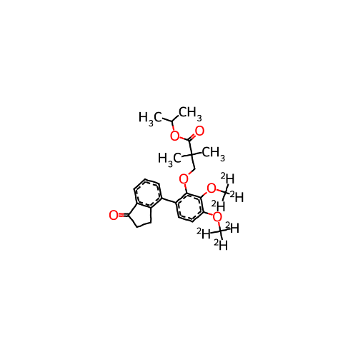 [2H]C([2H])([2H])Oc1ccc(-c2cccc3c2CCC3=O)c(OCC(C)(C)C(=O)OC(C)C)c1OC([2H])([2H])[2H]